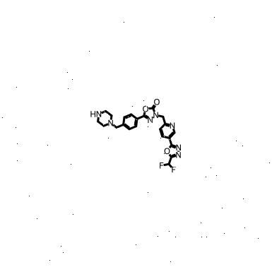 O=c1oc(-c2ccc(CN3CCNCC3)cc2)nn1Cc1ccc(-c2nnc(C(F)F)o2)cn1